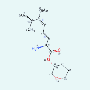 CCCC[C@H](C)/C(=C\C=C\[C@H](N)C(=O)O[C@@H]1CCCOC1)OC